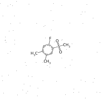 Cc1cc(F)c(S(C)(=O)=O)cc1C